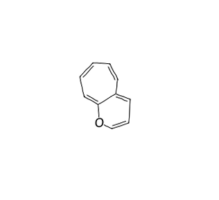 C1=CC=C2OC=CC=C2C=C1